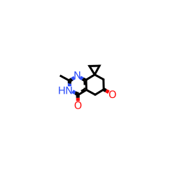 Cc1nc2c(c(=O)[nH]1)CC(=O)CC21CC1